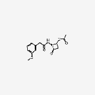 COc1cccc(CC(=O)NN2C(=O)CC2OC(C)=O)c1